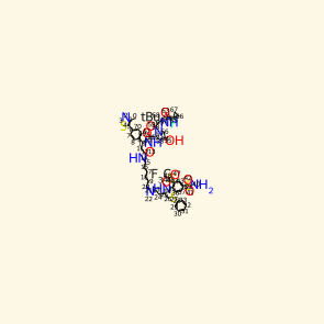 Cc1ncsc1-c1ccc([C@H](CC(=O)NCCCCCCN(C)CCC(CSc2ccccc2)Nc2ccc(S(N)(=O)=O)cc2S(=O)(=O)C(F)(F)F)NC(=O)[C@@H]2C[C@@H](O)CN2C(=O)C(NC(=O)C2(F)CC2)C(C)(C)C)cc1